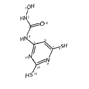 O=C(NO)Nc1cc(S)nc(S)n1